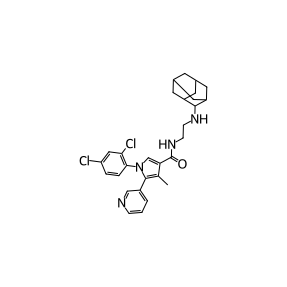 Cc1c(C(=O)NCCNC2C3CC4CC(C3)CC2C4)cn(-c2ccc(Cl)cc2Cl)c1-c1cccnc1